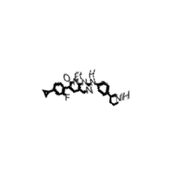 CCn1c(=O)c(-c2ccc(C3CC3)cc2F)cc2cnc(Nc3ccc(C4CCCNC4)cc3)nc21